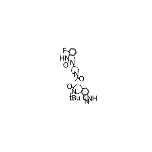 CC(C)(C)CN1Cc2c(ccc3[nH]ncc23)C[C@@H](CC(=O)N2CCC(N3Cc4cccc(F)c4NC3=O)CC2)C1=O